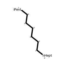 CCCCCCCCCCCCCC(C)CCC